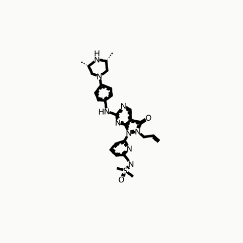 C=CCn1c(=O)c2cnc(Nc3ccc(N4C[C@@H](C)N[C@@H](C)C4)cc3)nc2n1-c1cccc(N=S(C)(C)=O)n1